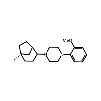 COc1ccccc1N1CCN(C2CC[C@H]3CCC2C3)CC1